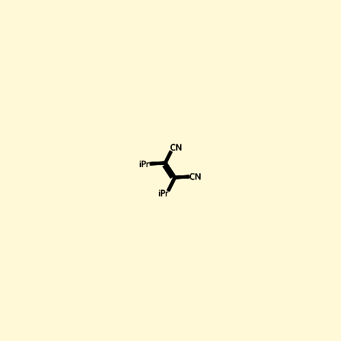 CC(C)/C(C#N)=C(/C#N)C(C)C